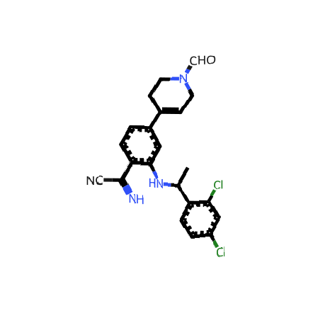 CC(Nc1cc(C2=CCN(C=O)CC2)ccc1C(=N)C#N)c1ccc(Cl)cc1Cl